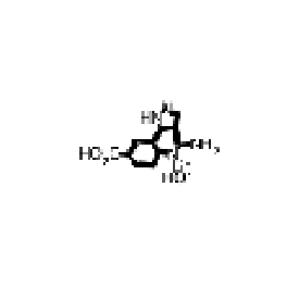 Nc1nc2ccc(C(=O)O)cc2c2[nH]ncc12.[Li+].[OH-]